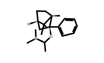 CC(O[C@@]1(c2ccccc2)C[C@@H]2CC[C@@]1(C)C2(C)C)N(C)C